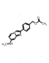 CNc1ccn2cc(-c3ccc(COC(C)=O)cc3)nc2c1